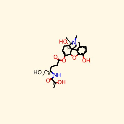 Cc1ccc(O)c2c1C13CCN(C)[C@H](C)[C@]1(O)CC=C(OC(=O)CC[C@H](NC(=O)[C@H](C)O)C(=O)O)C3O2